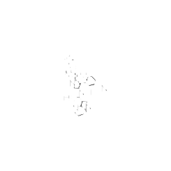 COc1ccc(C#N)cc1-c1c(NC(O)c2cnn3cccnc23)cnn1CCOC[Si](C)(C)C